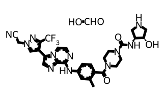 Cc1cc(Nc2nccn3c(-c4cn(CC#N)nc4C(F)(F)F)cnc23)ccc1C(=O)N1CCN(C(=O)N[C@H]2CNC[C@@H]2O)CC1.O=CO